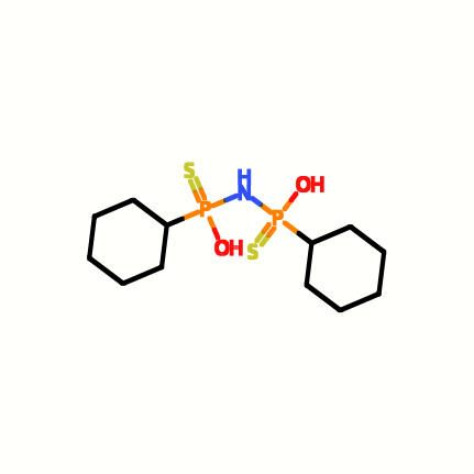 OP(=S)(NP(O)(=S)C1CCCCC1)C1CCCCC1